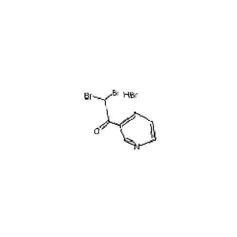 Br.O=C(c1cccnc1)C(Br)Br